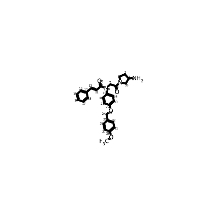 NC1CCN(C(=O)CN(C(=O)C=Cc2ccccc2)c2ccc(OCc3ccc(OC(F)(F)F)cc3)cc2)C1